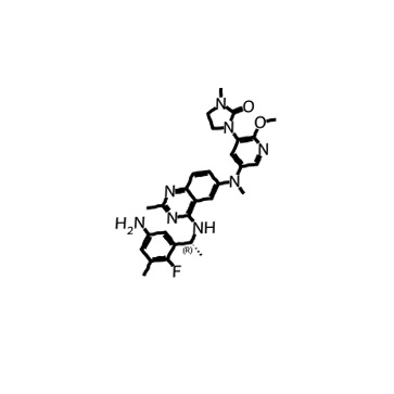 COc1ncc(N(C)c2ccc3nc(C)nc(N[C@H](C)c4cc(N)cc(C)c4F)c3c2)cc1N1CCN(C)C1=O